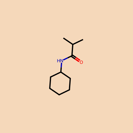 CC(C)C(=O)NC1CCCCC1